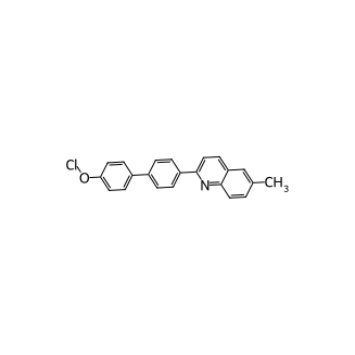 Cc1ccc2nc(-c3ccc(-c4ccc(OCl)cc4)cc3)ccc2c1